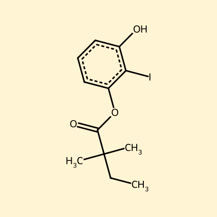 CCC(C)(C)C(=O)Oc1cccc(O)c1I